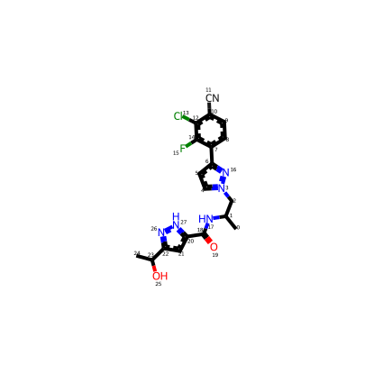 CC(Cn1ccc(-c2ccc(C#N)c(Cl)c2F)n1)NC(=O)c1cc(C(C)O)n[nH]1